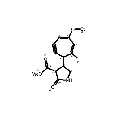 CCOC1=CC#CC(C2CNC(=O)[C@H]2C(=O)OC)C(F)=C1